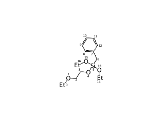 CCOCCO[Si](Cc1ccccc1)(OCC)OCC